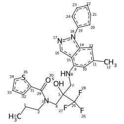 CCCN(CC(O)(CNc1cc(C)cc2c1cnn2-c1ccccc1)C(F)(F)F)C(=O)c1cccs1